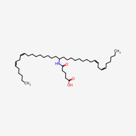 CCCCC/C=C\C/C=C\CCCCCCCCC(CCCCCCCC/C=C\C/C=C\CCCCC)NC(=O)CCCC(=O)O